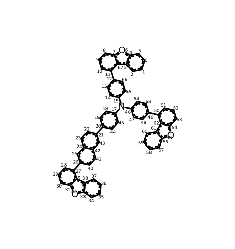 c1ccc2c(c1)oc1cccc(-c3ccc(N(c4ccc(-c5ccc6cc(-c7cccc8oc9ccccc9c78)ccc6c5)cc4)c4ccc(-c5cccc6oc7ccccc7c56)cc4)cc3)c12